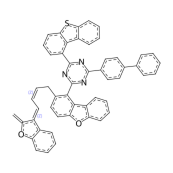 C=c1oc2ccccc2/c1=C/C=C\Cc1ccc2oc3ccccc3c2c1-c1nc(-c2ccc(-c3ccccc3)cc2)nc(-c2cccc3sc4ccccc4c23)n1